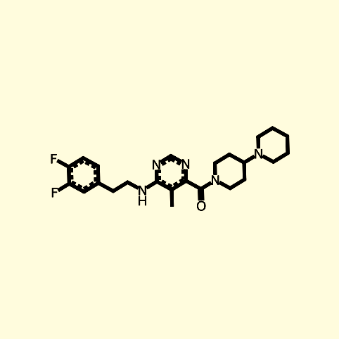 Cc1c(NCCc2ccc(F)c(F)c2)ncnc1C(=O)N1CCC(N2CCCCC2)CC1